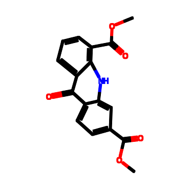 COC(=O)c1ccc2c(=O)c3cccc(C(=O)OC)c3[nH]c2c1